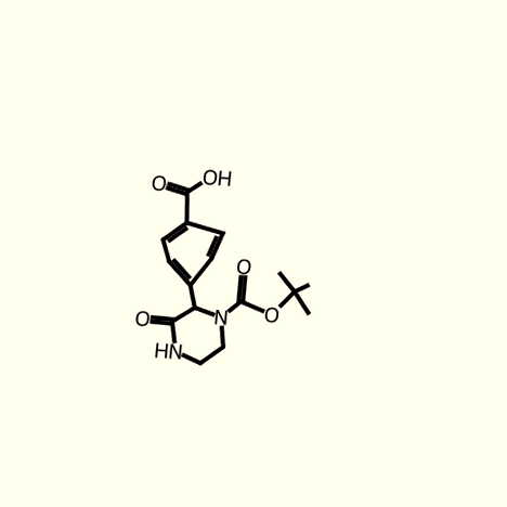 CC(C)(C)OC(=O)N1CCNC(=O)C1c1ccc(C(=O)O)cc1